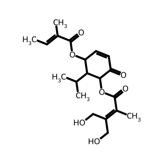 CC=C(C)C(=O)OC1C=CC(=O)C(OC(=O)C(C)=C(CO)CO)C1C(C)C